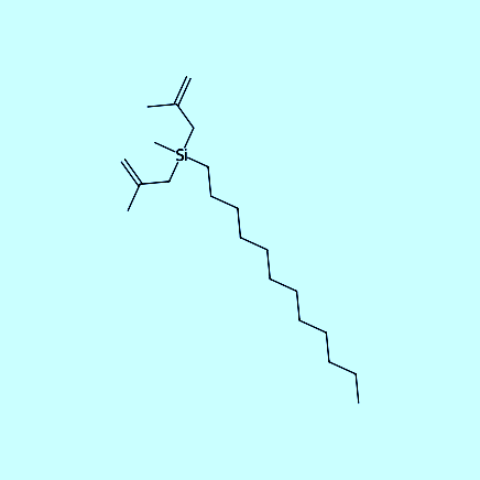 C=C(C)C[Si](C)(CCCCCCCCCCCC)CC(=C)C